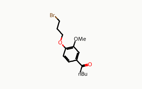 CCCCC(=O)c1ccc(OCCCBr)c(OC)c1